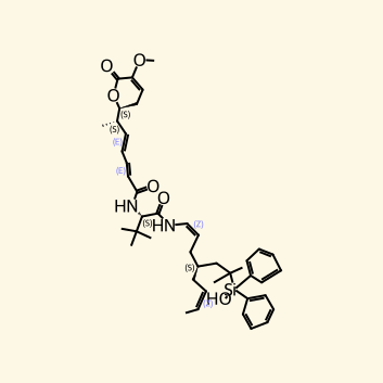 C/C=C\C[C@@H](C/C=C\NC(=O)[C@@H](NC(=O)/C=C/C=C/[C@H](C)[C@@H]1CC=C(OC)C(=O)O1)C(C)(C)C)CC(C)(C)[Si](O)(c1ccccc1)c1ccccc1